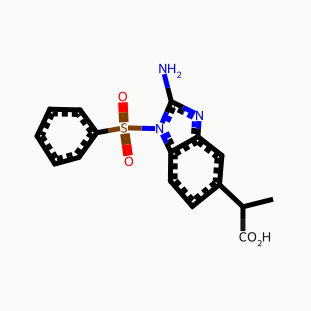 CC(C(=O)O)c1ccc2c(c1)nc(N)n2S(=O)(=O)c1ccccc1